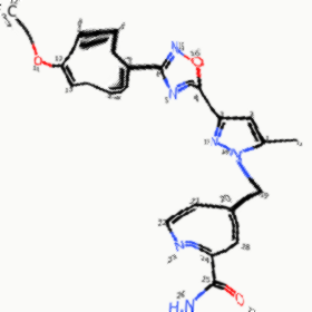 Cc1cc(-c2nc(-c3ccc(OC(F)(F)F)cc3)no2)nn1Cc1ccnc(C(N)=O)c1